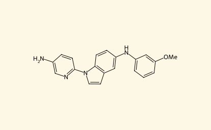 COc1cccc(Nc2ccc3c(ccn3-c3ccc(N)cn3)c2)c1